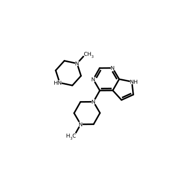 CN1CCN(c2ncnc3[nH]ccc23)CC1.CN1CCNCC1